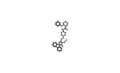 O=C(NC1CCN(CCCCC2(C(=O)NCC(F)(F)F)c3ccccc3-c3ccccc32)CC1)C1CCCCN1Cc1ccccc1